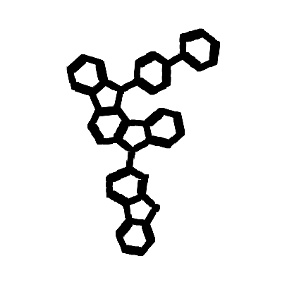 c1ccc(-c2ccc(-n3c4ccccc4c4ccc5c(c6ccccc6n5-c5ccc6c(n5)oc5ccccc56)c43)cc2)cc1